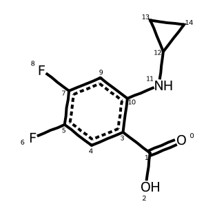 O=C(O)c1cc(F)c(F)cc1NC1CC1